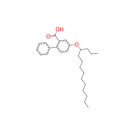 CCCCCCCCCCC(CCC)Oc1ccc(-c2ccccc2)c(C(=O)O)c1